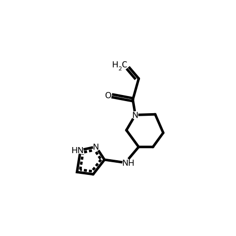 C=CC(=O)N1CCCC(Nc2cc[nH]n2)C1